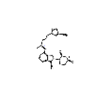 C#Cc1cnn(CCC/C(C)=C/c2cccc3c2CN(C2CCC(=O)NC2=O)C3=O)c1